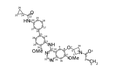 C=CC(=O)N1CC(Oc2cc3c(Nc4cc(-c5cccc(NC(=O)C6CC6)c5)ccc4OC)ncnc3cc2OC)C1